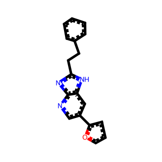 c1ccc(CCc2nc3ncc(-c4ccco4)cc3[nH]2)cc1